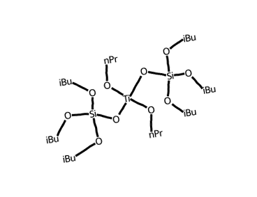 CCC[O][Ti]([O]CCC)([O][Si](OC(C)CC)(OC(C)CC)OC(C)CC)[O][Si](OC(C)CC)(OC(C)CC)OC(C)CC